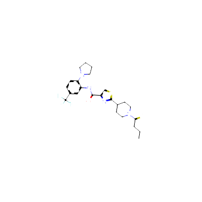 CCCC(=S)N1CCC(c2nc(C(=O)Nc3cc(C(F)(F)F)ccc3N3CCCC3)cs2)CC1